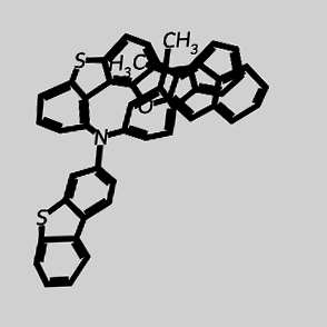 CC1(C)c2ccccc2-c2ccc(N(c3ccc4c(c3)sc3ccccc34)c3cccc4sc5ccc6c7cc8ccccc8cc7oc6c5c34)cc21